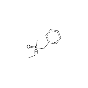 CC[SH](C)(=O)Cc1ccccc1